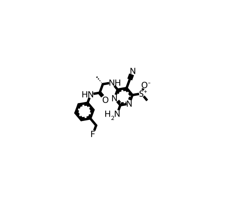 C[C@H](Nc1nc(N)nc([S+](C)[O-])c1C#N)C(=O)Nc1cccc(CF)c1